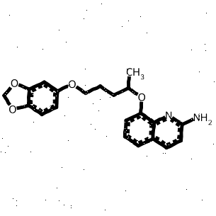 CC(CCCOc1ccc2c(c1)OCO2)Oc1cccc2ccc(N)nc12